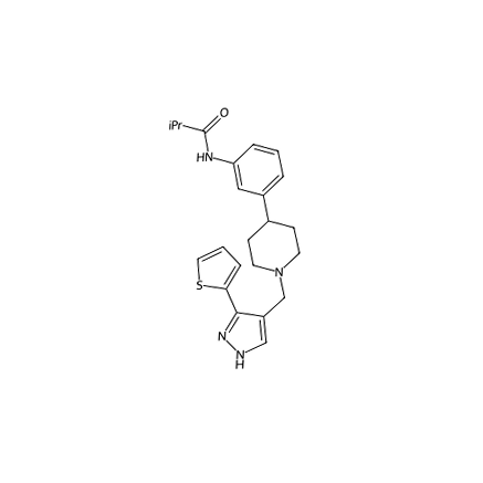 CC(C)C(=O)Nc1cccc(C2CCN(Cc3c[nH]nc3-c3cccs3)CC2)c1